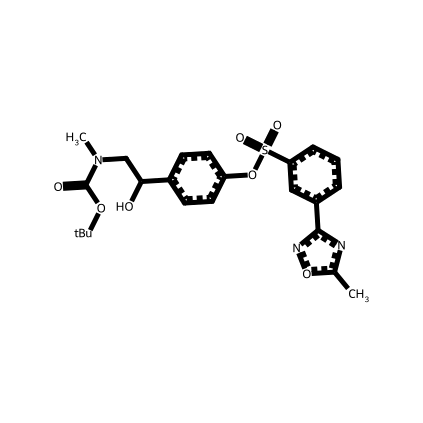 Cc1nc(-c2cccc(S(=O)(=O)Oc3ccc(C(O)CN(C)C(=O)OC(C)(C)C)cc3)c2)no1